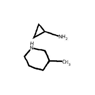 CC1CCCNC1.NC1CC1